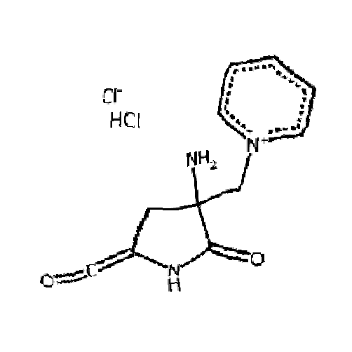 Cl.NC1(C[n+]2ccccc2)CC(=C=O)NC1=O.[Cl-]